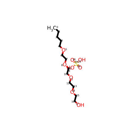 CCCCCOCCOCCOCCOCCO.O=S(=O)(O)O